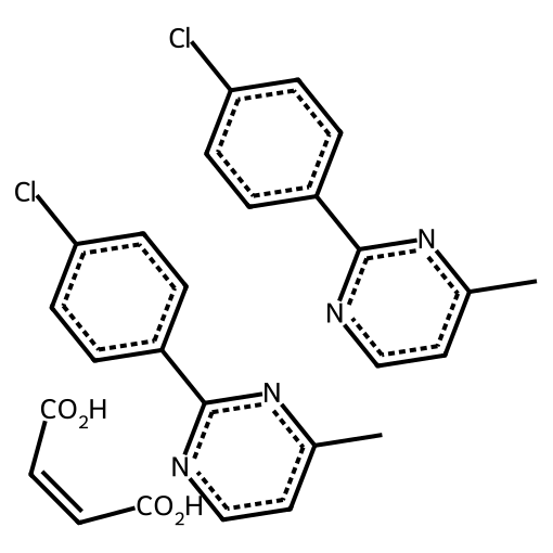 Cc1ccnc(-c2ccc(Cl)cc2)n1.Cc1ccnc(-c2ccc(Cl)cc2)n1.O=C(O)/C=C\C(=O)O